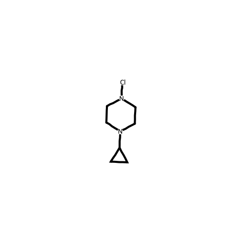 ClN1CCN(C2CC2)CC1